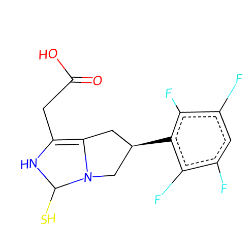 O=C(O)CC1=C2C[C@@H](c3c(F)c(F)cc(F)c3F)CN2C(S)N1